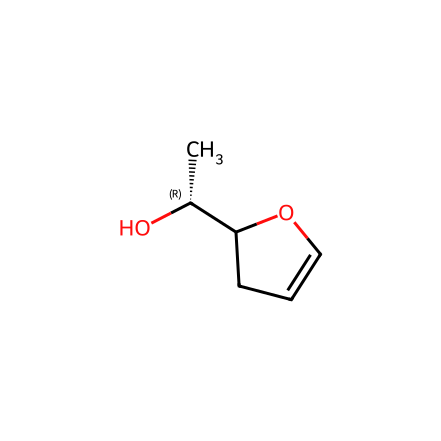 C[C@@H](O)C1CC=CO1